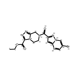 CCOC(=O)c1nnc2n1CCN(C(=O)c1cc3ncc(Br)cn3n1)C2